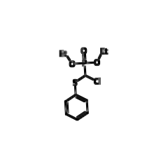 CCOP(=O)(OCC)C(Cl)Sc1ccccc1